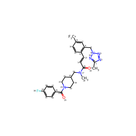 Cc1nnn(Cc2cc(C(F)(F)F)ccc2C=CC(=O)N(C)CC2CCN(C(=O)c3ccc(F)cc3)CC2)n1